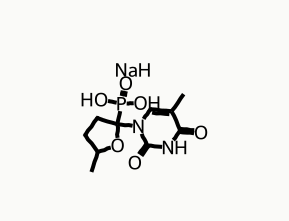 Cc1cn(C2(P(=O)(O)O)CCC(C)O2)c(=O)[nH]c1=O.[NaH]